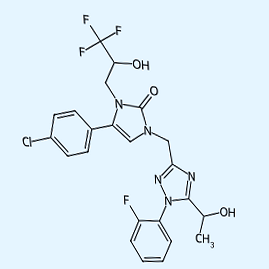 CC(O)c1nc(Cn2cc(-c3ccc(Cl)cc3)n(CC(O)C(F)(F)F)c2=O)nn1-c1ccccc1F